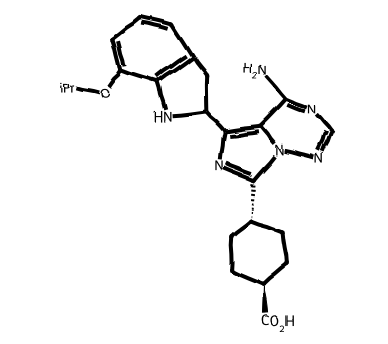 CC(C)Oc1cccc2c1NC(c1nc([C@H]3CC[C@H](C(=O)O)CC3)n3ncnc(N)c13)C2